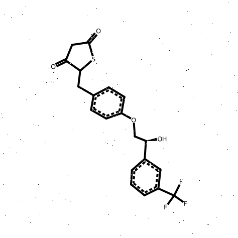 O=C1CC(=O)C(Cc2ccc(OC[C@@H](O)c3cccc(C(F)(F)F)c3)cc2)S1